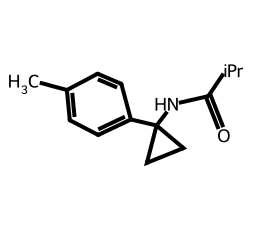 Cc1ccc(C2(NC(=O)C(C)C)CC2)cc1